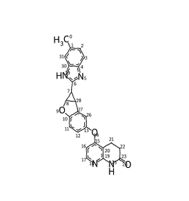 Cc1ccc2nc(C3C4Oc5ccc(Oc6ccnc7c6CCC(=O)N7)cc5C43)[nH]c2c1